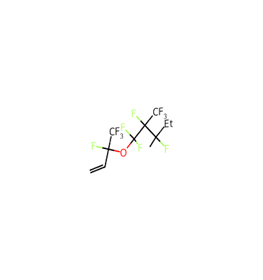 C=CC(F)(OC(F)(F)C(F)(C(F)(F)F)C(C)(F)CC)C(F)(F)F